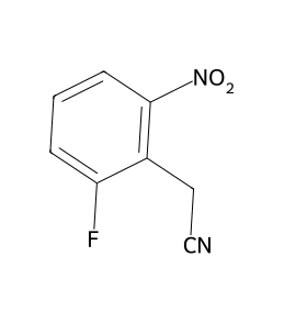 N#CCc1c(F)cccc1[N+](=O)[O-]